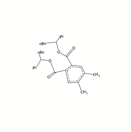 CCCCC(OC(=O)c1cc(C)c(C)cc1C(=O)OC(CCCC)C(C)C)C(C)C